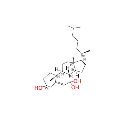 CC(C)CCC[C@@H](C)[C@H]1CC[C@H]2[C@H]3[C@H](CC[C@]12C)[C@@]1(C)CC[C@H](O)CC1=CC3(O)O